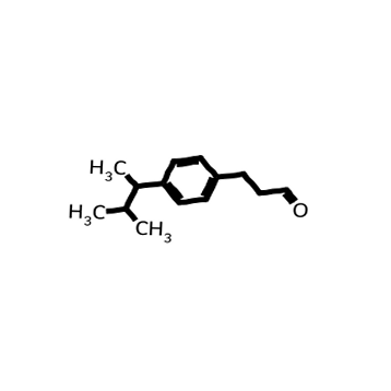 CC(C)C(C)c1ccc(CCC=O)cc1